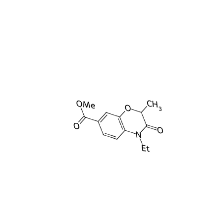 CCN1C(=O)C(C)Oc2cc(C(=O)OC)ccc21